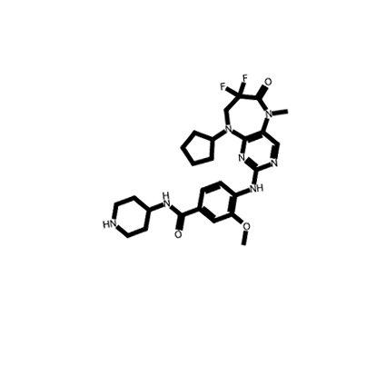 COc1cc(C(=O)NC2CCNCC2)ccc1Nc1ncc2c(n1)N(C1CCCC1)CC(F)(F)C(=O)N2C